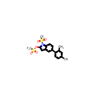 Cc1cc(C#N)ccc1-c1ccc2c(c1)cc(OS(=O)(=O)C(F)(F)F)n2S(=O)(=O)C(F)(F)F